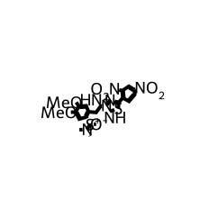 COc1cc(CC(=N)n2nc(-c3ccc([N+](=O)[O-])cc3[N+](=O)[O-])sc2=N)c([S+]([O-])N(C)C)cc1OC